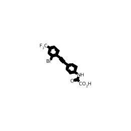 O=C(O)C(=O)Nc1ccc(C#Cc2ccc(C(F)(F)F)cc2Br)cc1